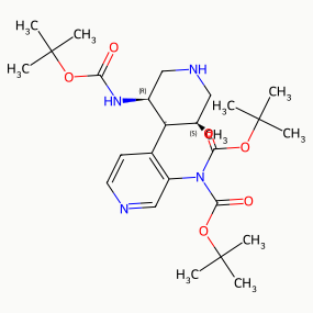 C[C@@H]1CNC[C@H](NC(=O)OC(C)(C)C)[C]1c1ccncc1N(C(=O)OC(C)(C)C)C(=O)OC(C)(C)C